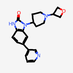 O=c1[nH]c2ccc(-c3cccnc3)cc2n1C1CCN(C2COC2)CC1